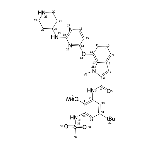 COc1c(NC(=O)c2cc3cccc(Oc4ccnc(NC5CCNCC5)n4)c3n2C)cc(C(C)(C)C)cc1NS(C)(=O)=O